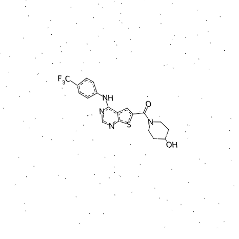 O=C(c1cc2c(Nc3ccc(C(F)(F)F)cc3)ncnc2s1)N1CCC(O)CC1